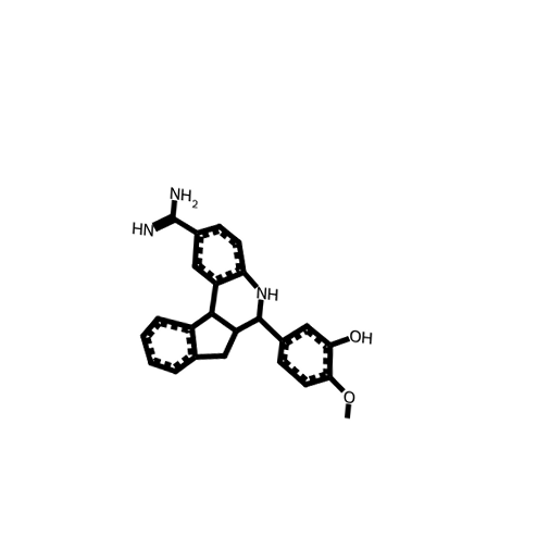 COc1ccc(C2Nc3ccc(C(=N)N)cc3C3c4ccccc4CC23)cc1O